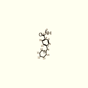 CNC(=O)c1ccc(CN2CCCCC2)cc1